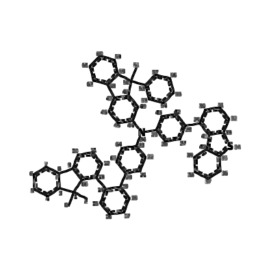 CC1(C)c2ccccc2-c2cccc(-c3ccccc3-c3ccc(N(c4ccc(-c5cccc6sc7ccccc7c56)cc4)c4ccc5c(c4)C(C)(c4ccccc4)c4ccccc4-5)cc3)c21